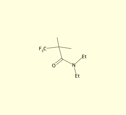 CCN(CC)C(=O)C(C)(C)C(F)(F)F